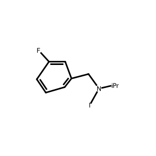 CC(C)N(I)Cc1cccc(F)c1